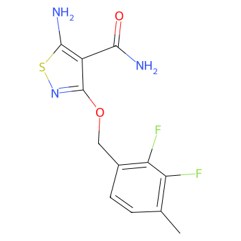 Cc1ccc(COc2nsc(N)c2C(N)=O)c(F)c1F